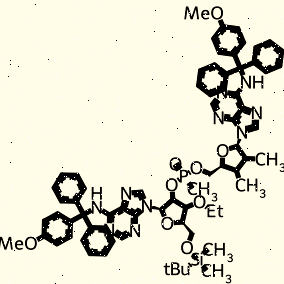 CCOC1C(OP(C)(=O)OC[C@H]2O[C@@H](n3cnc4c(NC(c5ccccc5)(c5ccccc5)c5ccc(OC)cc5)ncnc43)C(C)C2C)[C@H](n2cnc3c(NC(c4ccccc4)(c4ccccc4)c4ccc(OC)cc4)ncnc32)O[C@@H]1CO[Si](C)(C)C(C)(C)C